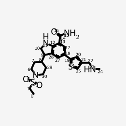 CCS(=O)(=O)N1CCC(C2CNc3c(C(N)=O)cc(-c4cc(CNC)cs4)cc32)CC1